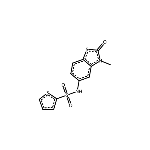 Cn1c(=O)sc2ccc(NS(=O)(=O)c3cccs3)cc21